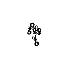 O=C(CC[C@@H]1Nc2ccccc2[C@H]2[C@@H]1CCN2C(=O)[C@H]1CCCC[C@H]1NC(=O)c1ccccc1)OCc1ccccc1